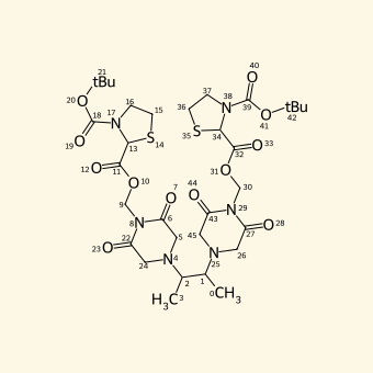 CC(C(C)N1CC(=O)N(COC(=O)C2SCCN2C(=O)OC(C)(C)C)C(=O)C1)N1CC(=O)N(COC(=O)C2SCCN2C(=O)OC(C)(C)C)C(=O)C1